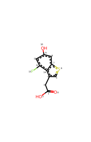 O=C(O)Cc1csc2cc(O)cc(F)c12